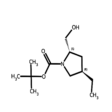 CC[C@@H]1C[C@@H](CO)N(C(=O)OC(C)(C)C)C1